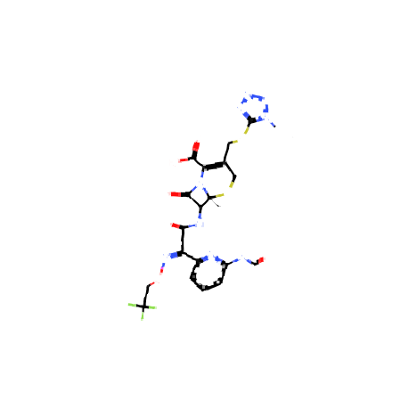 Cn1nnnc1SCC1=C(C(=O)O)N2C(=O)C(NC(=O)/C(=N/OCC(F)(F)F)c3cccc(NC=O)n3)[C@H]2SC1